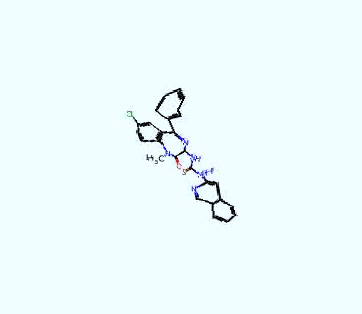 CN1C(=O)C(NC(=S)NC2=CC3C=CC=CC3C=N2)N=C(c2ccccc2)c2cc(Cl)ccc21